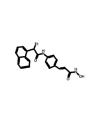 CCC(C(=O)Nc1ccc(/C=C/C(=O)NO)cc1)c1cccc2ccccc12